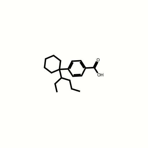 CCCC(CC)C1(c2ccc(C(=O)O)cc2)CCCCC1